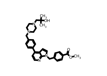 COC(=O)c1ccc(Cn2ccc3c(-c4ccc(CN5CCN(CC(C)(C)O)CC5)cc4)ccnc32)cc1